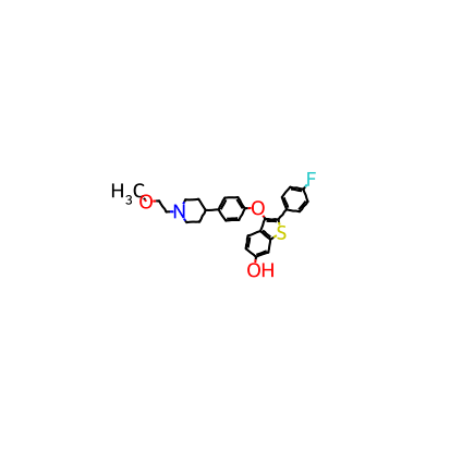 COCCN1CCC(c2ccc(Oc3c(-c4ccc(F)cc4)sc4cc(O)ccc34)cc2)CC1